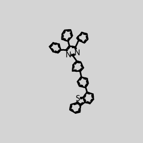 c1ccc(-c2nc(-c3ccc(-c4ccc(-c5cccc6c5sc5ccccc56)cc4)cc3)nc(-c3ccccc3)c2-c2ccccc2)cc1